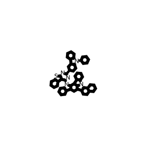 c1ccc(-n2c3ccccc3c3cc(-c4nc(-n5c6ccccc6c6cc7c8ccc9ccccc9c8n8c9ccccc9c(c65)c78)c5c(n4)sc4ccccc45)ccc32)cc1